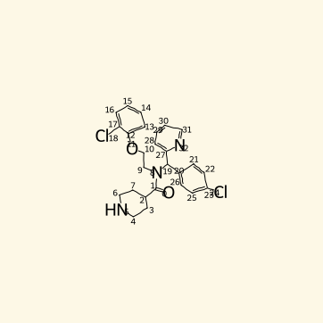 O=C(C1CCNCC1)N(CCOc1ccccc1Cl)C(c1ccc(Cl)cc1)c1ccccn1